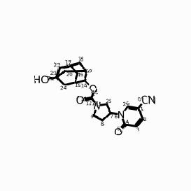 N#Cc1ccc(=O)n(C2CCN(C(=O)OC3C4CC5CC3CC(O)(C5)C4)C2)c1